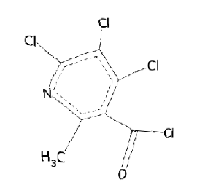 Cc1nc(Cl)c(Cl)c(Cl)c1C(=O)Cl